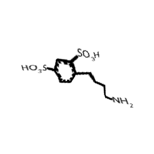 NCCCCc1ccc(S(=O)(=O)O)cc1S(=O)(=O)O